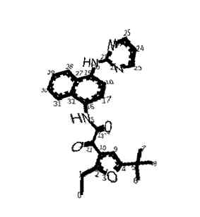 CCc1oc(C(C)(C)C)cc1C(=O)C(=O)Nc1ccc(Nc2ncccn2)c2ccccc12